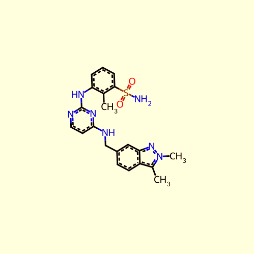 Cc1c(Nc2nccc(NCc3ccc4c(C)n(C)nc4c3)n2)cccc1S(N)(=O)=O